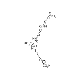 O=C(P)COCCOCCNC(=O)COCCOCCNC(=O)CC[C@H](NC(=O)CCCCCCCCOc1cccc(C(=O)O)c1)C(=O)O